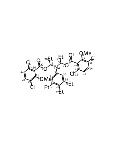 CCc1cc(N(C(CC)OC(=O)c2c(Cl)ccc(Cl)c2OC)C(CC)OC(=O)c2c(Cl)ccc(Cl)c2OC)cc(CC)c1CC